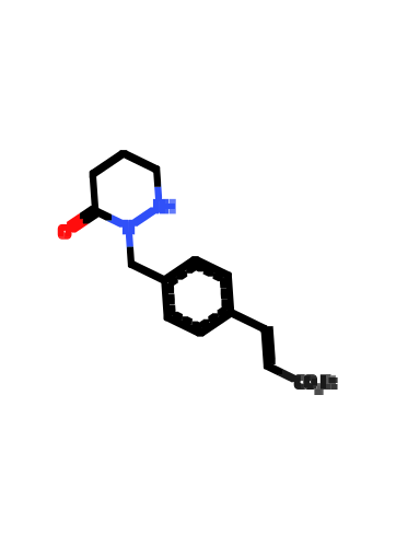 CCOC(=O)C=Cc1ccc(CN2NCCCC2=O)cc1